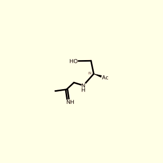 CC(=N)CN[C@@H](CO)C(C)=O